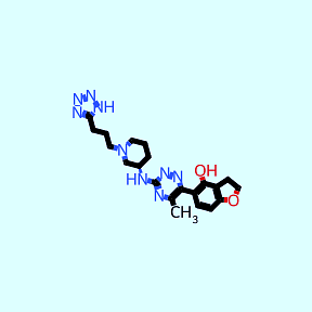 Cc1nc(N[C@@H]2CCCN(CCCc3nnn[nH]3)C2)nnc1-c1ccc2c(c1O)CCO2